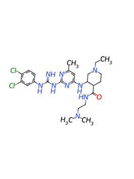 CCN1CCC(C(=O)NCCN(C)C)C(Nc2cc(C)nc(NC(=N)Nc3ccc(Cl)c(Cl)c3)n2)C1